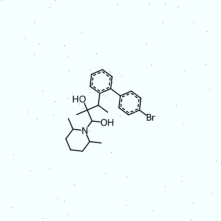 CC1CCCC(C)N1C(O)C(C)(O)C(C)c1ccccc1-c1ccc(Br)cc1